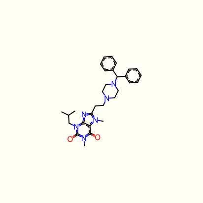 CC(C)Cn1c(=O)n(C)c(=O)c2c1nc(CCN1CCN(C(c3ccccc3)c3ccccc3)CC1)n2C